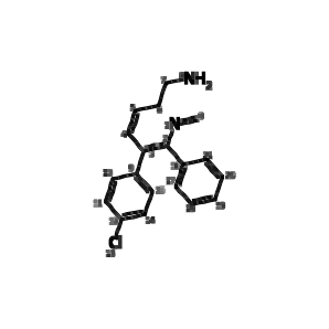 C=N/C(=C(\C=C/CCN)c1ccc(Cl)cc1)c1ccccc1